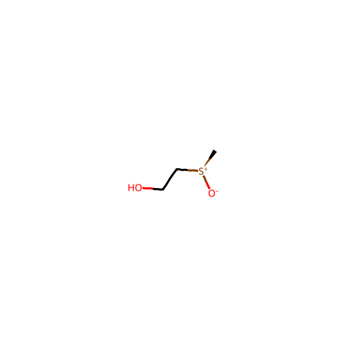 C[S@@+]([O-])CCO